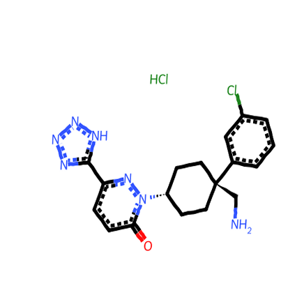 Cl.NC[C@]1(c2cccc(Cl)c2)CC[C@@H](n2nc(-c3nnn[nH]3)ccc2=O)CC1